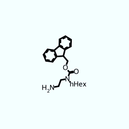 CCCCCCN(CCN)C(=O)OCC1c2ccccc2-c2ccccc21